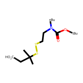 CCCCN(CCSSC(C)(C)CC(=O)O)C(=O)OC(C)(C)C